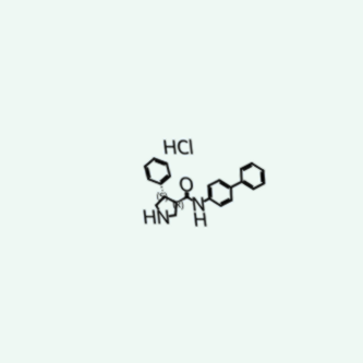 Cl.O=C(Nc1ccc(-c2ccccc2)cc1)[C@H]1CNC[C@@H]1c1ccccc1